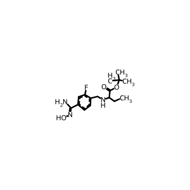 CCC(NCc1ccc(/C(N)=N/O)cc1F)C(=O)OC(C)(C)C